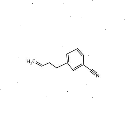 C=CCCc1cccc(C#N)c1